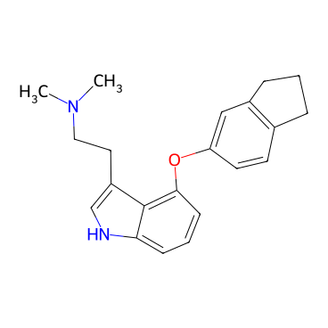 CN(C)CCc1c[nH]c2cccc(Oc3ccc4c(c3)CCC4)c12